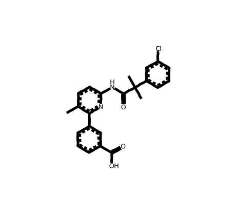 Cc1ccc(NC(=O)C(C)(C)c2cccc(Cl)c2)nc1-c1cccc(C(=O)O)c1